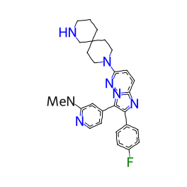 CNc1cc(-c2c(-c3ccc(F)cc3)nc3ccc(N4CCC5(CCCNC5)CC4)nn23)ccn1